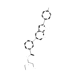 CC[C@H](CO)NC(=O)c1cccc(-c2cnc3[nH]c(-c4ccc(F)cc4)cc3c2)c1